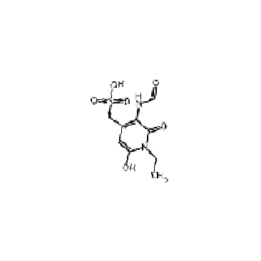 CCn1c(O)cc(CS(=O)(=O)O)c(NC=O)c1=O